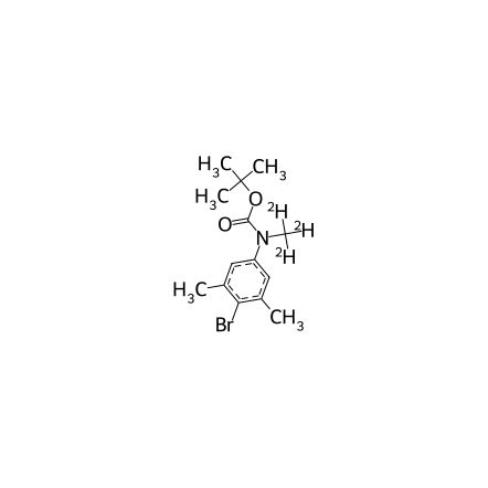 [2H]C([2H])([2H])N(C(=O)OC(C)(C)C)c1cc(C)c(Br)c(C)c1